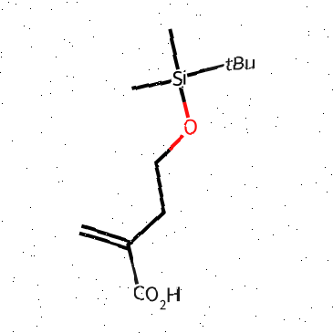 C=C(CCO[Si](C)(C)C(C)(C)C)C(=O)O